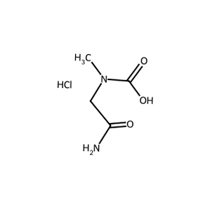 CN(CC(N)=O)C(=O)O.Cl